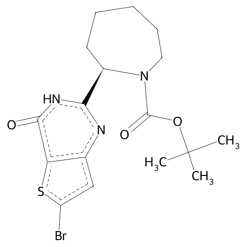 CC(C)(C)OC(=O)N1CCCCC[C@@H]1c1nc2cc(Br)sc2c(=O)[nH]1